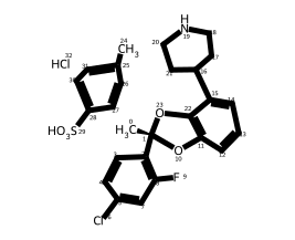 C[C@]1(c2ccc(Cl)cc2F)Oc2cccc(C3CCNCC3)c2O1.Cc1ccc(S(=O)(=O)O)cc1.Cl